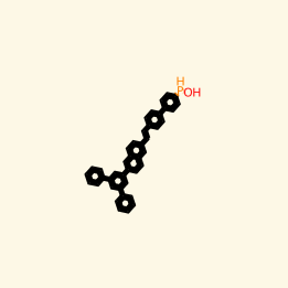 OPc1ccc(-c2ccc(/C=C/c3ccc4cc(-c5cc(-c6ccccc6)cc(-c6ccccc6)c5)ccc4c3)cc2)cc1